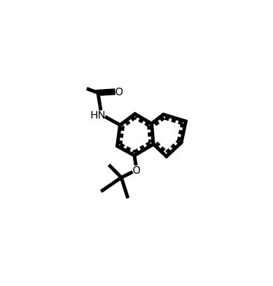 CC(=O)Nc1cc(OC(C)(C)C)c2ccccc2c1